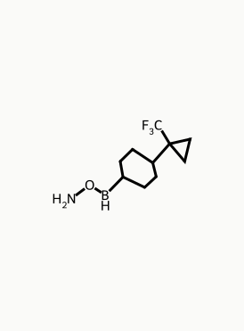 NOBC1CCC(C2(C(F)(F)F)CC2)CC1